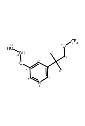 CC(C)(COC(F)(F)F)c1cncc(OBO)c1